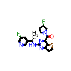 C[C@H](Nc1nc(C(=O)N2CC[C@@H](F)C2)c2sccc2n1)c1cncc(F)c1